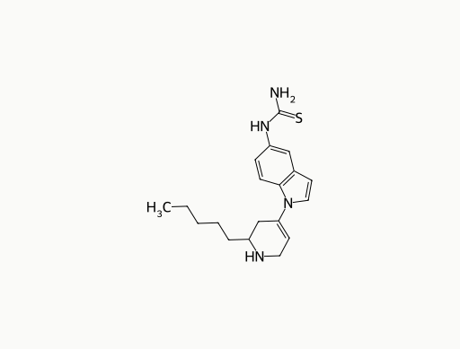 CCCCCC1CC(n2ccc3cc(NC(N)=S)ccc32)=CCN1